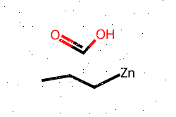 CC[CH2][Zn].O=CO